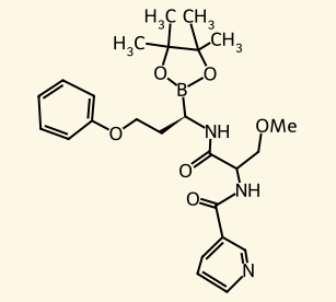 COCC(NC(=O)c1cccnc1)C(=O)N[C@@H](CCOc1ccccc1)B1OC(C)(C)C(C)(C)O1